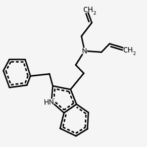 C=CCN(CC=C)CCc1c(Cc2ccccc2)[nH]c2ccccc12